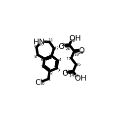 ClCc1ccc2c(c1)CCNCC2.O=C(O)CCC(=O)C(=O)O